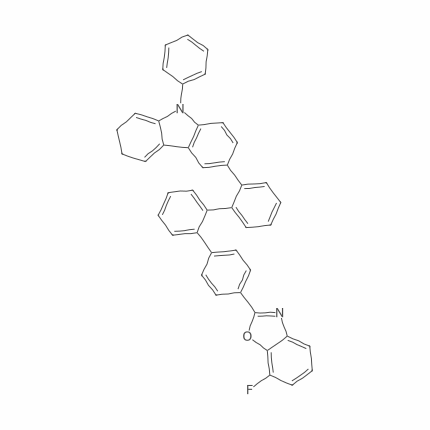 Fc1cccc2nc(-c3ccc(-c4ccccc4-c4ccccc4-c4ccc5c(c4)c4c(n5-c5ccccc5)=CCCC=4)cc3)oc12